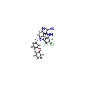 N#Cc1cnc2ccc(NCc3cccc(Oc4ccccc4)c3)cc2c1Nc1ccc(F)c(Cl)c1